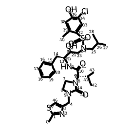 Cc1nc(CN2CCN([C@H](C(=O)N[C@@H](Cc3ccccc3)[C@H](O)CN(CC(C)C)S(=O)(=O)c3cc(Cl)c(O)cc3C)C(C)C)C2=O)cs1